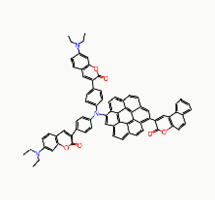 CCN(CC)c1ccc2cc(-c3ccc(N(c4ccc(-c5cc6ccc(N(CC)CC)cc6oc5=O)cc4)c4cc5ccc6ccc7c(-c8cc9c(ccc%10ccccc%109)oc8=O)cc8ccc9ccc4c4c9c8c7c6c54)cc3)c(=O)oc2c1